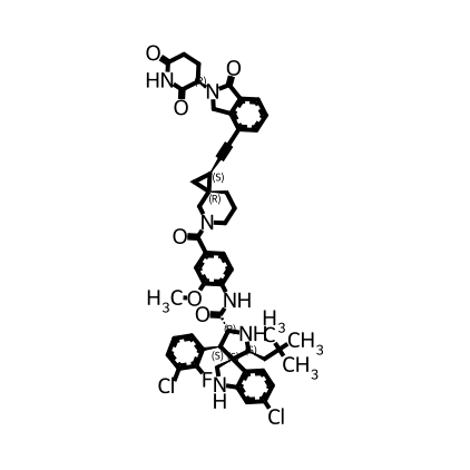 COc1cc(C(=O)N2CCC[C@]3(C[C@H]3C#Cc3cccc4c3CN([C@@H]3CCC(=O)NC3=O)C4=O)C2)ccc1NC(=O)[C@@H]1N[C@@H](CC(C)(C)C)[C@@]2(CNc3cc(Cl)ccc32)[C@H]1c1cccc(Cl)c1F